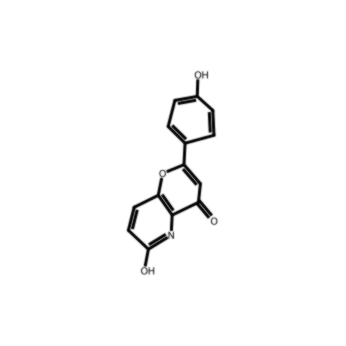 O=c1cc(-c2ccc(O)cc2)oc2ccc(O)nc12